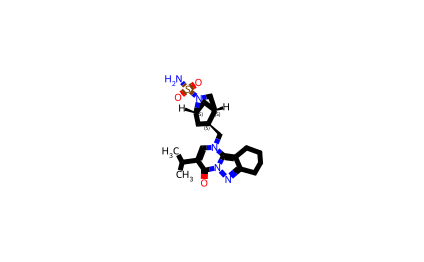 CC(C)c1cn(C[C@H]2C[C@H]3C[C@@H]2CN3S(N)(=O)=O)c2c3c(nn2c1=O)CCCC3